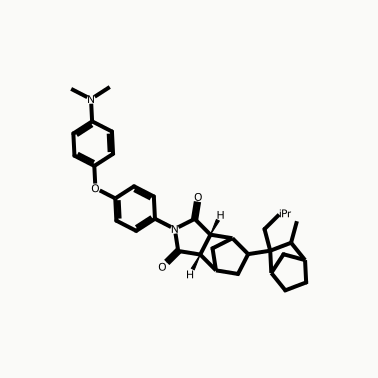 CC(C)CC1(C2CC3CC2[C@H]2C(=O)N(c4ccc(Oc5ccc(N(C)C)cc5)cc4)C(=O)[C@@H]32)C2CCC(C2)C1C